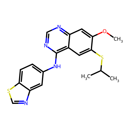 COc1cc2ncnc(Nc3ccc4scnc4c3)c2cc1SC(C)C